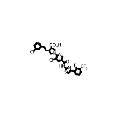 O=C(Nc1nc(-c2cccc(C(F)(F)F)c2F)cs1)c1cnc(N2C[C@@H](CCc3cccc(Cl)c3)[C@@H](C(=O)O)C2)c(Cl)c1